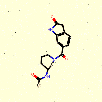 CCC(=O)NC1CCCN(C(=O)c2ccc3c(c2)NC(=O)C3)C1